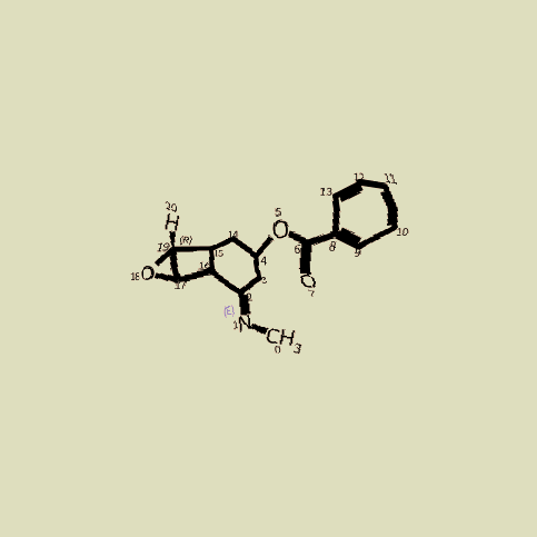 C/N=C1\CC(OC(=O)c2ccccc2)CC2C1C1O[C@H]21